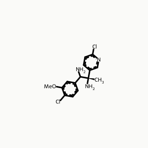 COc1cc(C(N)[C@@](C)(N)c2ccc(Cl)nc2)ccc1Cl